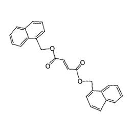 O=C(C=CC(=O)OCc1cccc2ccccc12)OCc1cccc2ccccc12